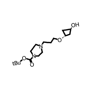 CC(C)(C)OC(=O)N1CCN(CCCO[C@H]2C[C@@H](O)C2)CC1